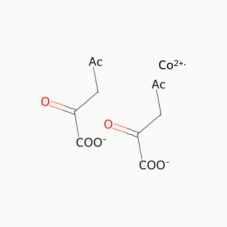 CC(=O)CC(=O)C(=O)[O-].CC(=O)CC(=O)C(=O)[O-].[Co+2]